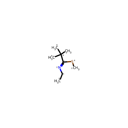 CC/N=C(\SC)C(C)(C)C